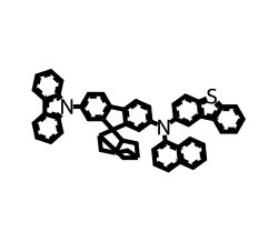 c1ccc2c(N(c3ccc4c(c3)C3(c5cc(-n6c7ccccc7c7ccccc76)ccc5-4)C4CC5CC(C4)C3C5)c3ccc4sc5ccccc5c4c3)cccc2c1